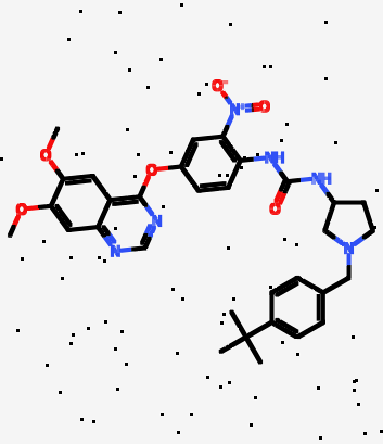 COc1cc2ncnc(Oc3ccc(NC(=O)NC4CCN(Cc5ccc(C(C)(C)C)cc5)C4)c([N+](=O)[O-])c3)c2cc1OC